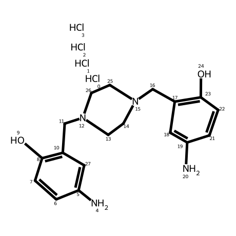 Cl.Cl.Cl.Cl.Nc1ccc(O)c(CN2CCN(Cc3cc(N)ccc3O)CC2)c1